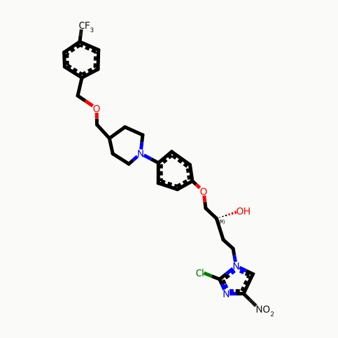 O=[N+]([O-])c1cn(CC[C@@H](O)COc2ccc(N3CCC(COCc4ccc(C(F)(F)F)cc4)CC3)cc2)c(Cl)n1